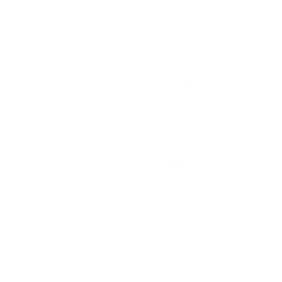 C=C(OOC(C)(C)c1ccccc1)C(=O)OOC(=O)OC(C)OCC